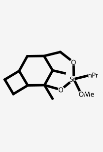 CCC[Si]1(OC)OCC2CC3CCC3C(C)(O1)C2C